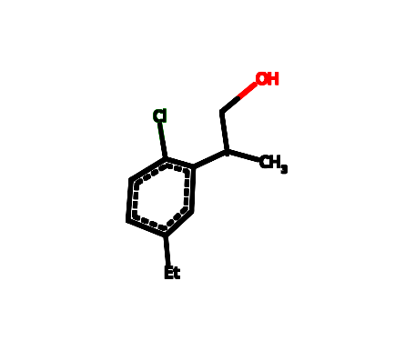 CCc1ccc(Cl)c([C](C)CO)c1